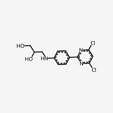 OCC(O)CNc1ccc(-c2nc(Cl)cc(Cl)n2)cc1